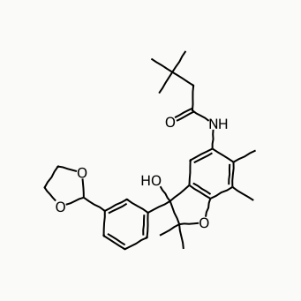 Cc1c(NC(=O)CC(C)(C)C)cc2c(c1C)OC(C)(C)C2(O)c1cccc(C2OCCO2)c1